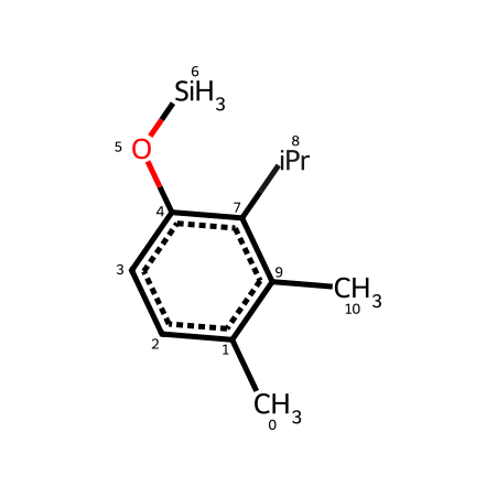 Cc1ccc(O[SiH3])c(C(C)C)c1C